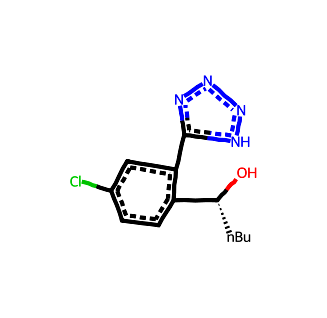 CCCC[C@@H](O)c1ccc(Cl)cc1-c1nnn[nH]1